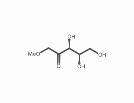 COCC(=O)[C@@H](O)[C@H](O)CO